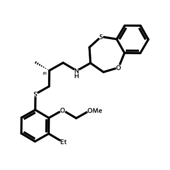 CCc1cccc(SC[C@H](C)CNC2COc3ccccc3SC2)c1OCOC